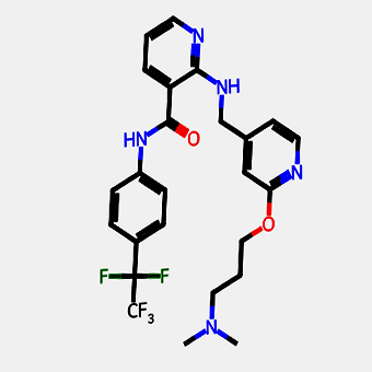 CN(C)CCCOc1cc(CNc2ncccc2C(=O)Nc2ccc(C(F)(F)C(F)(F)F)cc2)ccn1